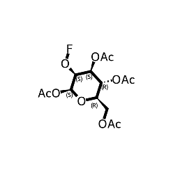 CC(=O)OC[C@H]1O[C@@H](OC(C)=O)[C@@H](OF)[C@@H](OC(C)=O)[C@@H]1OC(C)=O